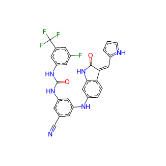 N#Cc1cc(NC(=O)Nc2cc(F)cc(C(F)(F)F)c2)cc(Nc2ccc3c(c2)NC(=O)C3=Cc2ccc[nH]2)c1